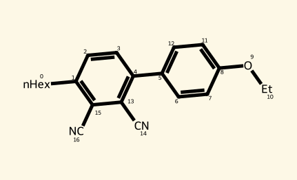 CCCCCCc1ccc(-c2ccc(OCC)cc2)c(C#N)c1C#N